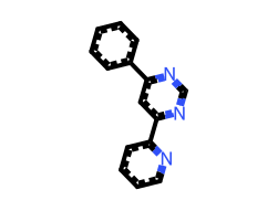 c1ccc(-c2cc(-c3ccccn3)ncn2)cc1